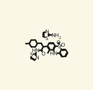 Cc1c(C(CC2CCC(C)CC2)C(=O)Nc2nccs2)ccc2c1Nc1ccccc1S2(=O)=O.Nc1nccs1